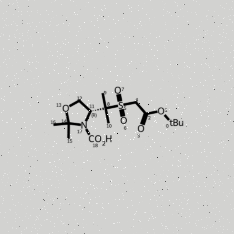 CC(C)(C)OC(=O)CS(=O)(=O)C(C)(C)[C@H]1COC(C)(C)N1C(=O)O